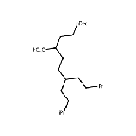 CCCCCCCCCCCCC(CCC(CCC(C)C)CCC(C)C)C(=O)O